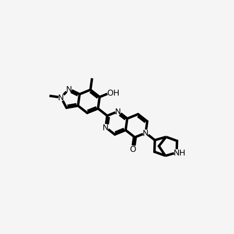 Cc1c(O)c(-c2ncc3c(=O)n(C4CC5CC4CN5)ccc3n2)cc2cn(C)nc12